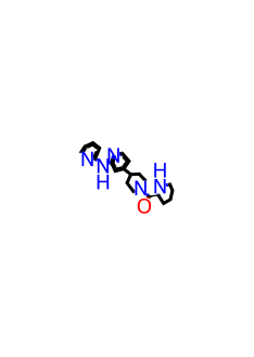 O=C([C@@H]1CCCCN1)N1CCC(c2ccnc(Nc3ccccn3)c2)CC1